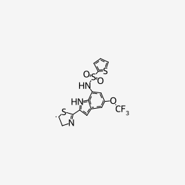 O=S(=O)(Nc1cc(OC(F)(F)F)cc2cc(C3=NC[CH]S3)[nH]c12)c1cccs1